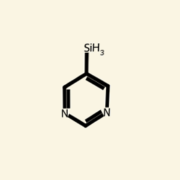 [SiH3]c1cncnc1